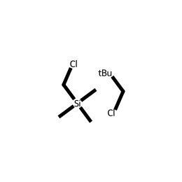 CC(C)(C)CCl.C[Si](C)(C)CCl